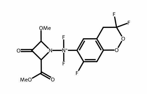 COC(=O)C1C(=O)C(OC)N1[N+](F)(F)c1cc2c(cc1F)OOC(F)(F)C2